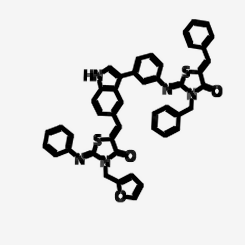 O=C1/C(=C/c2ccccc2)S/C(=N\c2cccc(-c3c[nH]c4ccc(/C=C5\S/C(=N\c6ccccc6)N(Cc6ccco6)C5=O)cc34)c2)N1Cc1ccccc1